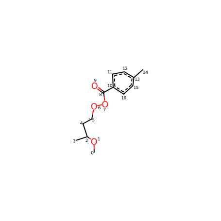 COC(C)C[CH]OOC(=O)c1ccc(C)cc1